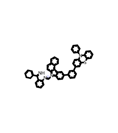 N=C(C1=CC=CCC1)c1ccccc1/N=C/n1c2ccc(-c3cccc(-c4ccc5c(c4)Sc4ccccc4N5c4ccccc4)c3)cc2c2c3ccccc3ccc21